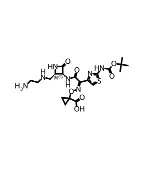 CC(C)(C)OC(=O)Nc1nc(C(=NOC2(C(=O)O)CC2)C(=O)N[C@@H]2C(=O)N[C@@H]2CNCCN)cs1